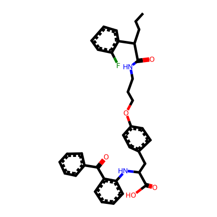 CCCC(C(=O)NCCCOc1ccc(CC(Nc2ccccc2C(=O)c2ccccc2)C(=O)O)cc1)c1ccccc1F